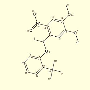 COc1cc(C(C)Oc2ccccc2C(C)(C)C)c([N+](=O)[O-])cc1OC